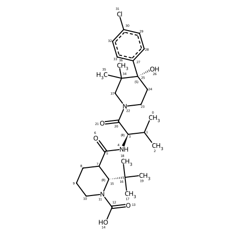 CC(C)[C@@H](NC(=O)C1CCCN(C(=O)O)[C@H]1C(C)(C)C)C(=O)N1CC[C@](O)(c2ccc(Cl)cc2)C(C)(C)C1